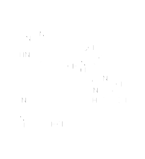 Cc1cc(-c2ncnc3[nH]c4cc(CCN5CCNCC5)ccc4c23)ccc1[C@@H](C)NC(=O)c1nc(C(C)(C)C)no1.Cl